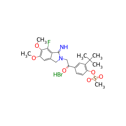 Br.COc1cc2c(c(F)c1OC)C(=N)N(CC(=O)c1ccc(OS(C)(=O)=O)c(C(C)(C)C)c1)C2